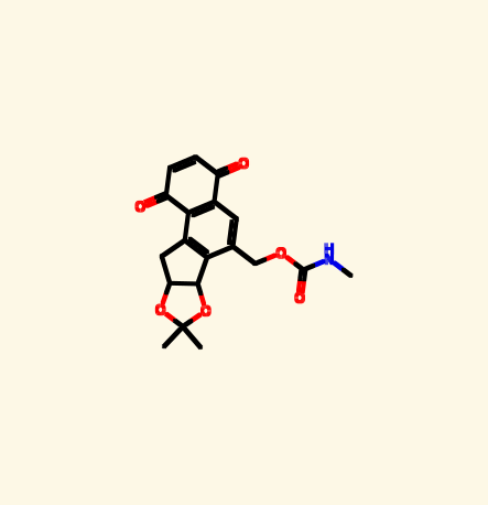 CNC(=O)OCc1cc2c(c3c1C1OC(C)(C)OC1C3)C(=O)C=CC2=O